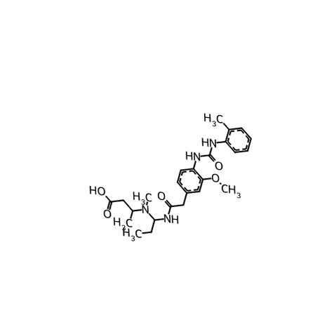 CCC(NC(=O)Cc1ccc(NC(=O)Nc2ccccc2C)c(OC)c1)N(C)C(C)CC(=O)O